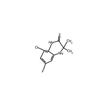 CC1(C)Nc2cc(F)cc(Cl)c2NC1=S